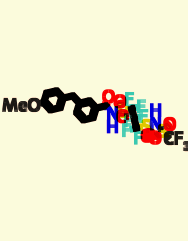 COc1ccc(Cc2cccc(C(=O)NS(=O)(=O)C(F)(F)C(F)(F)C(F)(F)S(=O)(=O)NS(=O)(=O)C(F)(F)F)c2)cc1